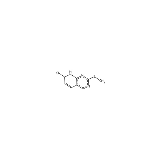 CSc1ncc2c(n1)NC(Cl)C=C2